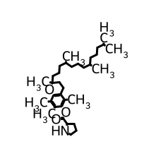 Cc1c(C)c2c(c(C)c1OC(=O)C1CCCN1)CCC(C)(CCCC(C)CCCC(C)CCCC(C)C)O2